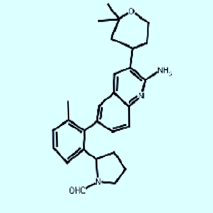 Cc1cccc(C2CCCN2C=O)c1-c1ccc2nc(N)c(C3CCOC(C)(C)C3)cc2c1